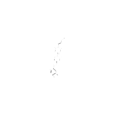 FCCC=CC1CCC(C2CCC(CCc3ccc(C(F)(F)F)c(F)c3)CC2)CC1